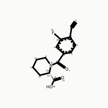 [C]#Cc1ccc(C(=O)N2CCCC[C@H]2C(=O)O)cc1F